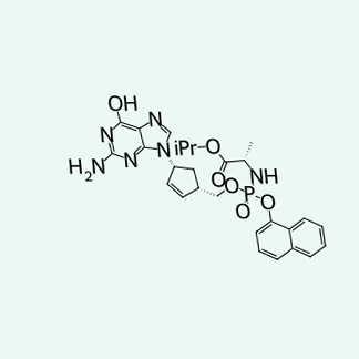 CC(C)OC(=O)[C@H](C)NP(=O)(OC[C@@H]1C=C[C@H](n2cnc3c(O)nc(N)nc32)C1)Oc1cccc2ccccc12